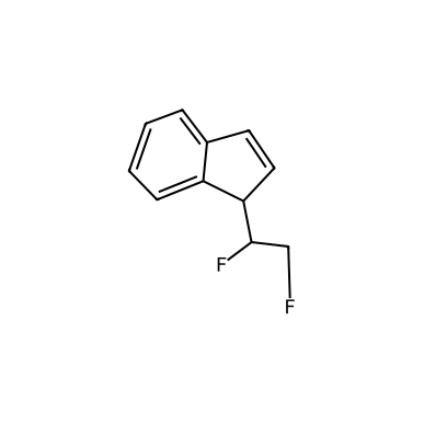 FCC(F)C1C=Cc2ccccc21